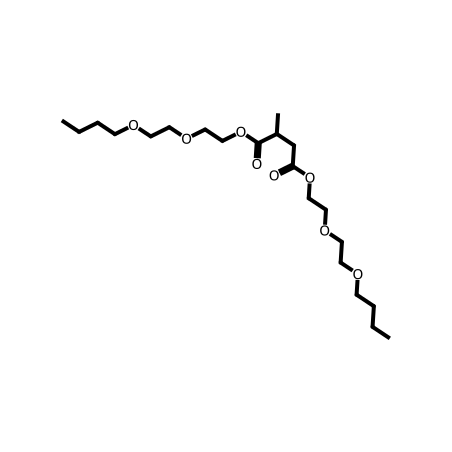 CCCCOCCOCCOC(=O)CC(C)C(=O)OCCOCCOCCCC